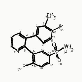 Cc1cc(-c2cccnc2-c2cc(S(N)(=O)=O)ccc2F)ccc1Br